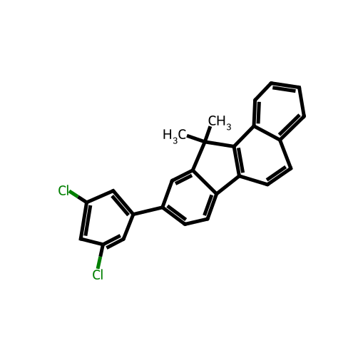 CC1(C)c2cc(-c3cc(Cl)cc(Cl)c3)ccc2-c2ccc3ccccc3c21